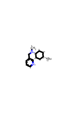 CN(Cc1cccnc1)[C@H]1CC[C@@H](C(C)(C)C)CC1